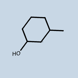 CC1[CH]C(O)CCC1